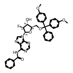 COc1ccc(C(OC[C@H]2O[C@@H](n3cnc4c(NC(=O)c5ccccc5)ncnc43)[C@@H](F)[C@@H]2O)(c2ccccc2)c2ccc(OC)cc2)cc1